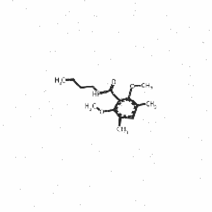 CCCCPC(=O)c1c(OC)c(C)cc(C)c1OC